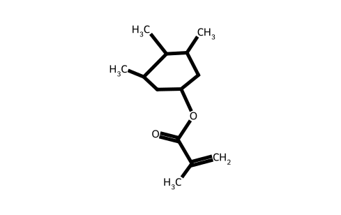 C=C(C)C(=O)OC1CC(C)C(C)C(C)C1